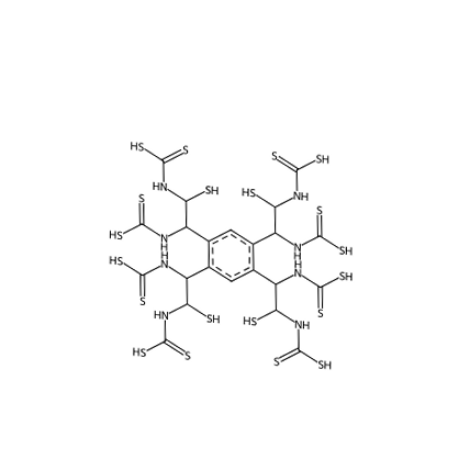 S=C(S)NC(S)C(NC(=S)S)c1cc(C(NC(=S)S)C(S)NC(=S)S)c(C(NC(=S)S)C(S)NC(=S)S)cc1C(NC(=S)S)C(S)NC(=S)S